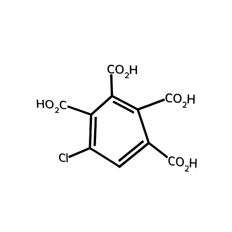 O=C(O)c1cc(Cl)c(C(=O)O)c(C(=O)O)c1C(=O)O